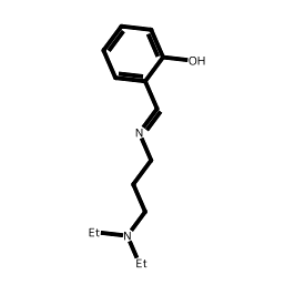 CCN(CC)CCC/N=C/c1ccccc1O